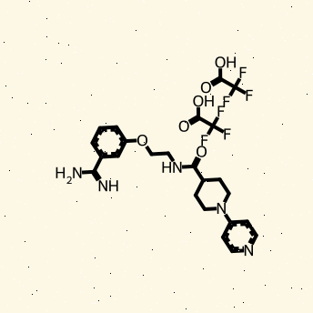 N=C(N)c1cccc(OCCNC(=O)C2CCN(c3ccncc3)CC2)c1.O=C(O)C(F)(F)F.O=C(O)C(F)(F)F